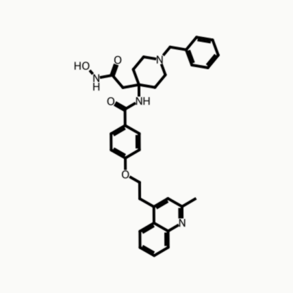 Cc1cc(CCOc2ccc(C(=O)NC3(CC(=O)NO)CCN(Cc4ccccc4)CC3)cc2)c2ccccc2n1